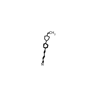 C=CC1CCC(c2ccc(C#CC#CC#N)cc2)CC1